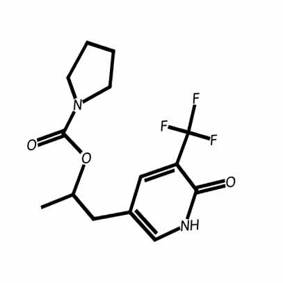 CC(Cc1c[nH]c(=O)c(C(F)(F)F)c1)OC(=O)N1CCCC1